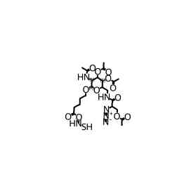 CC(=O)N[C@H]1C(OC(C)=O)[C@@H](OC(C)=O)C(CNC(=O)C(COC(C)=O)N=[N+]=[N-])O[C@H]1OCCCCC(=O)ONS